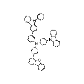 c1ccc(-n2c3ccccc3c3cc(-c4cccc(N(c5ccc(-c6cccc7c6oc6ccccc67)cc5)c5ccc(-n6c7ccccc7c7ccccc76)cc5)c4)ccc32)cc1